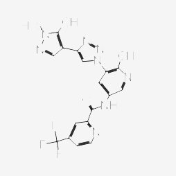 Cc1ncc(NC(=O)c2cc(C(F)(F)F)ccn2)cc1-n1cc(-c2cnn(C)c2C)nn1